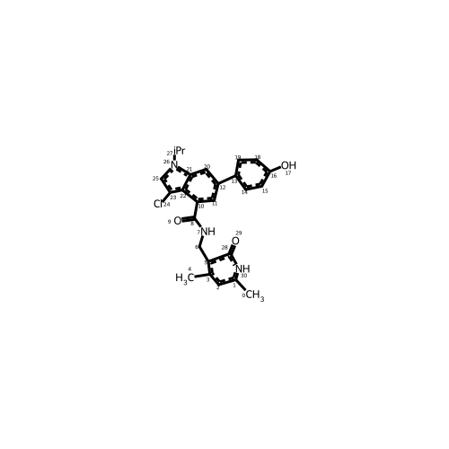 Cc1cc(C)c(CNC(=O)c2cc(-c3ccc(O)cc3)cc3c2c(Cl)cn3C(C)C)c(=O)[nH]1